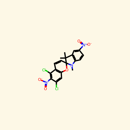 CN1c2ccc([N+](=O)[O-])cc2C(C)(C)C12C=Cc1c(cc(Cl)c([N+](=O)[O-])c1Cl)O2